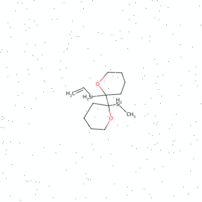 C=C[SiH2]C1(C2([SiH2]C)CCCCO2)CCCCO1